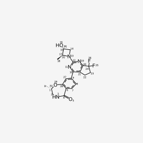 C[C@H]1CNC(=O)c2ccc(-c3nc(N4C[C@@H](O)[C@@H]4C)nc4c3CCC4(F)F)cc2O1